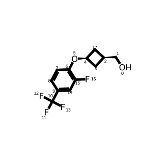 OC[C@H]1C[C@@H](Oc2ccc(C(F)(F)F)cc2F)C1